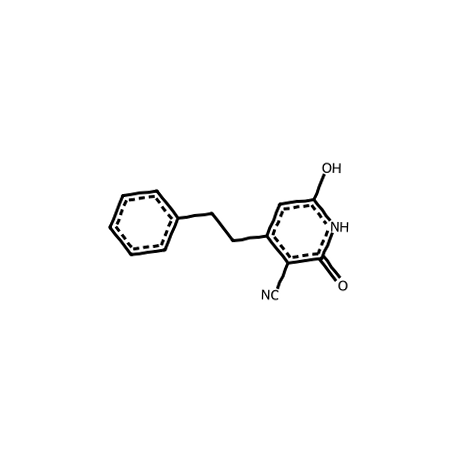 N#Cc1c(CCc2ccccc2)cc(O)[nH]c1=O